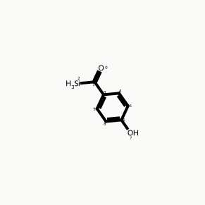 O=C([SiH3])c1ccc(O)cc1